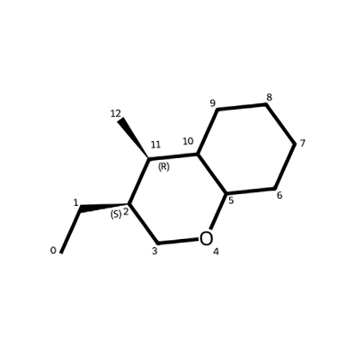 CC[C@@H]1COC2CCCCC2[C@@H]1C